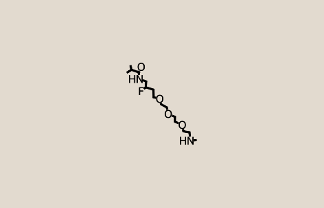 CNCCOCCOCCOCCC(F)CNC(=O)C(C)C